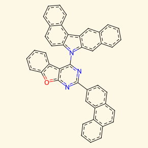 c1ccc2cc3c(cc2c1)c1c2ccccc2ccc1n3-c1nc(-c2ccc3ccc4ccccc4c3c2)nc2oc3ccccc3c12